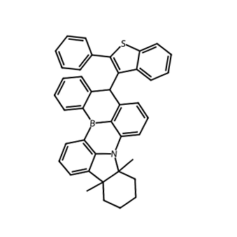 CC12CCCCC1(C)N1c3cccc4c3B(c3ccccc3C4c3c(-c4ccccc4)sc4ccccc34)c3cccc2c31